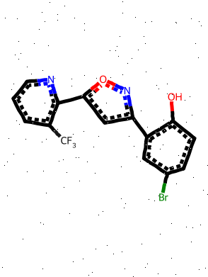 Oc1ccc(Br)cc1-c1cc(-c2ncccc2C(F)(F)F)on1